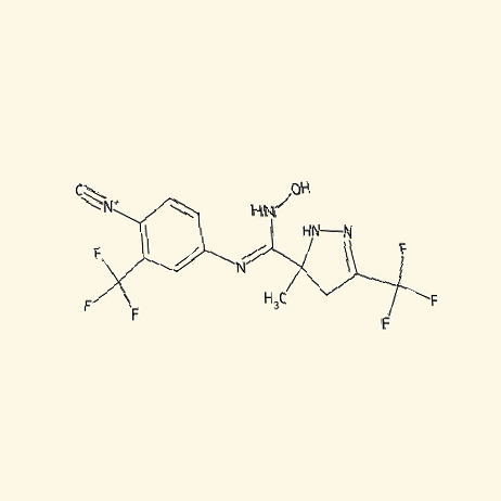 [C-]#[N+]c1ccc(/N=C(\NO)C2(C)CC(C(F)(F)F)=NN2)cc1C(F)(F)F